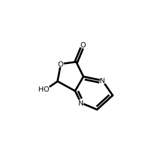 O=C1OC(O)c2nccnc21